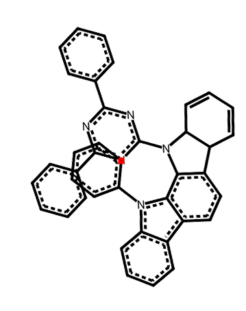 C1=CC2c3ccc4c5ccccc5n(-c5ccccc5)c4c3N(c3nc(-c4ccccc4)nc(-c4ccccc4)n3)C2C=C1